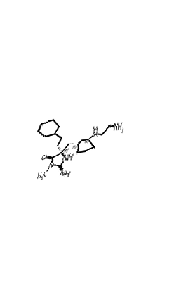 CN1C(=N)N[C@](CCC2CCCCC2)(C[C@H]2CCC[C@H](NCCN)C2)C1=O